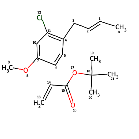 C/C=C/Cc1ccc(OC)cc1Cl.C=CC(=O)OC(C)(C)C